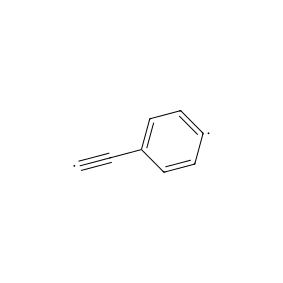 [C]#Cc1cc[c]cc1